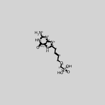 Nc1nc2nc(CC=CCOCP(=O)(O)O)[nH]c2c(=O)[nH]1